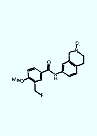 CCN1CCc2ccc(NC(=O)c3ccc(OC)c(CF)c3)cc2C1